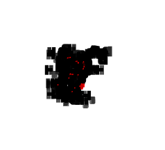 CN[C@H](CC(C)C)C(=O)NC1C(=O)NC(CC(N)=O)C(=O)N[C@H]2C(=O)N[C@H]3C(=O)N[C@H](C(=O)NC(C(=O)O)c4cc(O)cc(O)c4-c4cc3ccc4O)[C@H](OC3C[C@](C)(N)[C@@H](O)[C@H](C)O3)c3ccc(c(Cl)c3)Oc3cc2cc(c3O[C@@H]2O[C@H](CO)[C@@H](O[C@@H]3O[C@H](CNCc4ccc(-c5cc(Cl)cc(Cl)c5)s4)[C@H](O)[C@H](O)[C@H]3O)[C@H](O)[C@H]2O)Oc2ccc(cc2Cl)[C@H]1O